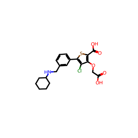 O=C(O)COc1c(C(=O)O)sc(-c2cccc(CNC3CCCCC3)c2)c1Cl